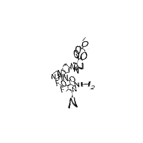 CCOC(=O)[C@H](C)OC(=O)c1cn(-c2ccc(N3CCN(C)CC3)c(NC(=O)c3c(N)nc(C#N)c(C)c3OC(F)F)c2)nn1